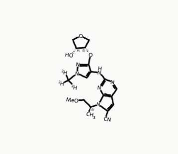 [2H]C([2H])([2H])n1cc(Nc2ncc3cc(C#N)n([C@@H](C)COC)c3n2)c(O[C@H]2COC[C@H]2O)n1